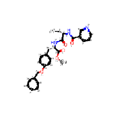 CC(C)C[C@H](NC(=O)c1cccnc1)C(=O)N[C@@H](Cc1ccc(OCc2ccccc2)cc1)C(=O)OC(C)(C)C